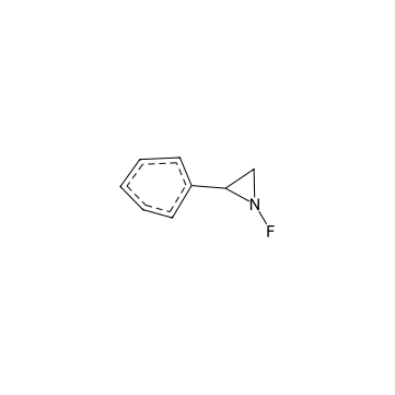 FN1CC1c1ccccc1